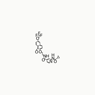 O=Cc1c(OCCNC(=O)c2ccnc(NC(=O)C3CC3)c2)ccc2cc(OCC(F)(F)F)ccc12